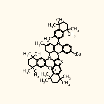 CC1=CC2=C3B(c4cc(C(C)(C)C)ccc4N2c2cc4c(cc2C)C(C)(C)CCC4(C)C)c2sc4cc5c(cc4c2N(c2cc4c(cc2C)C(C)(C)CCC4(C)C)C3C1)C(C)(C)CCC5(C)C